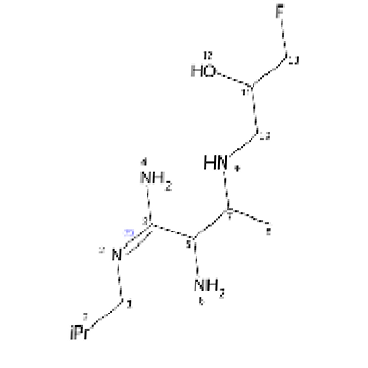 CC(C)C/N=C(/N)C(N)C(C)NCC(O)CF